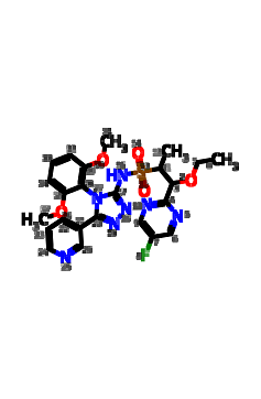 CCOC(c1ncc(F)cn1)C(C)S(=O)(=O)Nc1nnc(-c2cccnc2)n1-c1c(OC)cccc1OC